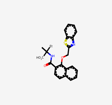 CCC(C)(NC(=O)c1ccc2ccccc2c1OCc1nc2ccccc2s1)C(=O)O